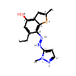 CCc1cc(O)c2cc(C)sc2c1/N=N/c1ccnn1C